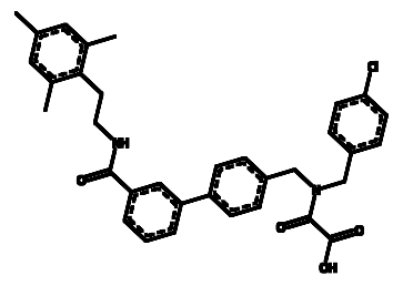 Cc1cc(C)c(CCNC(=O)c2cccc(-c3ccc(CN(Cc4ccc(Cl)cc4)C(=O)C(=O)O)cc3)c2)c(C)c1